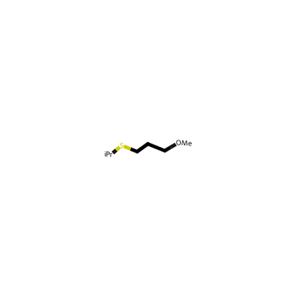 COCCCSC(C)C